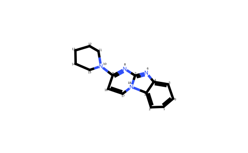 c1ccc2c(c1)nc1nc(N3CCCCC3)ccn12